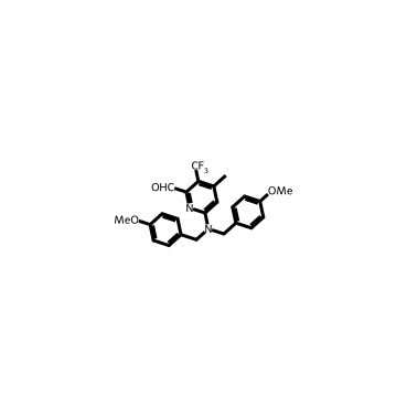 COc1ccc(CN(Cc2ccc(OC)cc2)c2cc(C)c(C(F)(F)F)c(C=O)n2)cc1